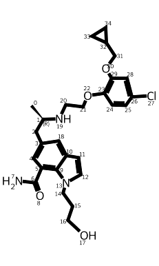 C[C@H](Cc1cc(C(N)=O)c2c(ccn2CCCO)c1)NCCOc1ccc(Cl)cc1OCC1CC1